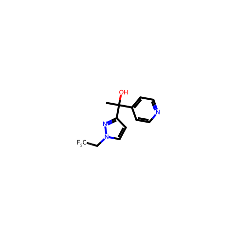 CC(O)(c1ccncc1)c1ccn(CC(F)(F)F)n1